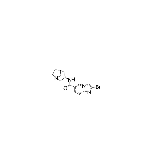 O=C(N[C@@H]1CC2CCN(C2)C1)c1ccc2nc(Br)cn2c1